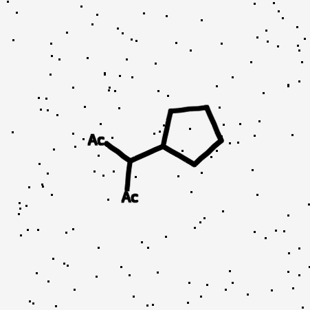 CC(=O)C(C(C)=O)C1CCCC1